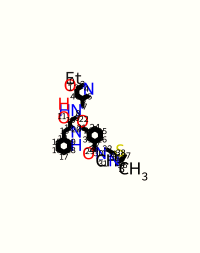 CCOc1cncc(CNCC(O)C(Cc2ccccc2)NC(=O)c2cccc(C(=O)N(C)Cc3nc(C)cs3)c2)c1